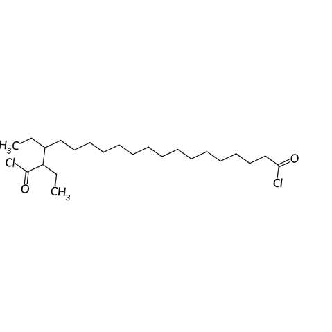 CCC(CCCCCCCCCCCCCCCC(=O)Cl)C(CC)C(=O)Cl